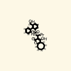 CC(C)C(NS(=O)(=O)c1cccc(CO)c1-c1ccccc1)c1c(O)c2c(oc1=O)CCCCCC2